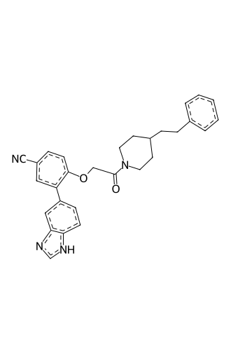 N#Cc1ccc(OCC(=O)N2CCC(CCc3ccccc3)CC2)c(-c2ccc3[nH]cnc3c2)c1